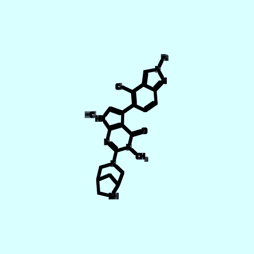 CCn1cc2c(Cl)c(-c3c[nH]c4nc(N5CC6CNC(C6)C5)n(C)c(=O)c34)ccc2n1.Cl